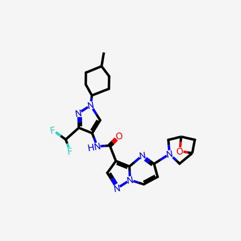 CC1CCC(n2cc(NC(=O)c3cnn4ccc(N5CC6CC(C5)O6)nc34)c(C(F)F)n2)CC1